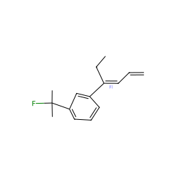 C=C/C=C(\CC)c1cccc(C(C)(C)F)c1